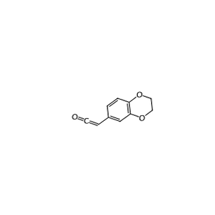 O=C=Cc1ccc2c(c1)OCCO2